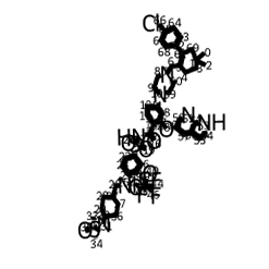 CC1(C)CCC(CN2CCN(c3ccc(C(=O)NS(=O)(=O)c4ccc(NCC5CCC(N=S(C)(C)=O)CC5)c(S(=O)(=O)C(F)(F)F)c4)c(Oc4cnc5[nH]ccc5c4)c3)CC2)=C(c2ccc(Cl)cc2)C1